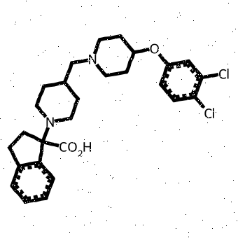 O=C(O)C1(N2CCC(CN3CCC(Oc4ccc(Cl)c(Cl)c4)CC3)CC2)CCc2ccccc21